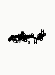 C=C(CC)CCC1=C(CN2CCN(c3ccc(C(=O)NS(=O)(=O)c4ccc(N[C@H](CCN5CCN(C(=O)CCCCNc6ccc7c(c6)C(=O)N(C6CCC(=O)NC6=O)C7=O)CC5)CSc5ccccc5)c(S(=O)(=O)C(F)(F)F)c4)cc3)CC2)CCC(C)(C)C1